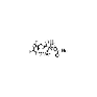 COCC(C)(COC(=O)C(C)(C)C)C(=O)OCC(F)(F)OC(F)F